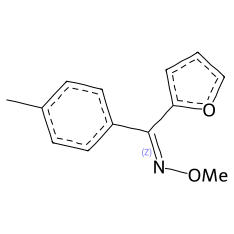 CO/N=C(/c1ccc(C)cc1)c1ccco1